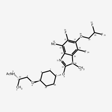 CC(=O)N[C@@H](C)CO[C@H]1CC[C@H](Oc2nc3c(C#N)c(F)c(OCC(F)F)c(F)c3n2C)CC1